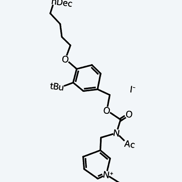 CCCCCCCCCCCCCCOc1ccc(COC(=O)N(Cc2ccc[n+](C)c2)C(C)=O)cc1C(C)(C)C.[I-]